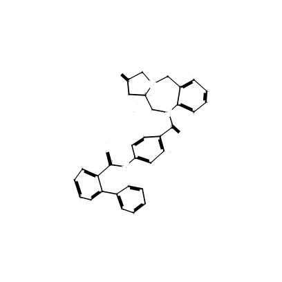 O=C1C[C@@H]2CN(C(=O)c3ccc(NC(=O)c4ccccc4-c4ccccc4)cc3)c3ccccc3CN2C1